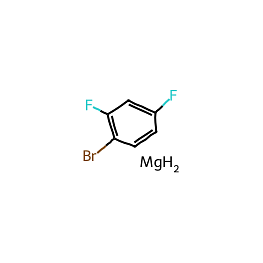 Fc1ccc(Br)c(F)c1.[MgH2]